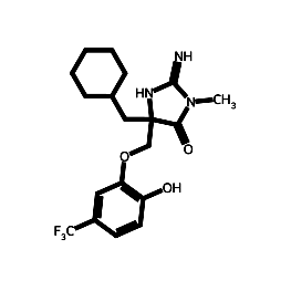 CN1C(=N)NC(COc2cc(C(F)(F)F)ccc2O)(CC2CCCCC2)C1=O